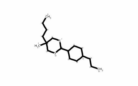 CCCCC1(C)CSC(C2CCC(CCC)CC2)SC1